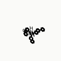 C1=CC(C2=NC(c3ccc4cc(-c5ccccc5)ccc4c3)NC(c3cccc4oc5ccccc5c34)=N2)Cc2ccccc21